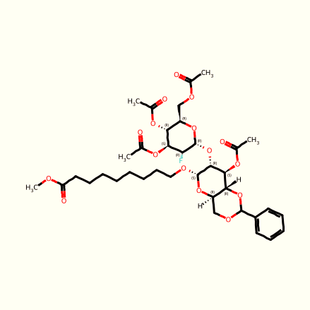 COC(=O)CCCCCCCCO[C@H]1O[C@@H]2COC(c3ccccc3)O[C@H]2[C@H](OC(C)=O)[C@H]1O[C@H]1O[C@H](COC(C)=O)[C@@H](OC(C)=O)[C@H](OC(C)=O)[C@H]1F